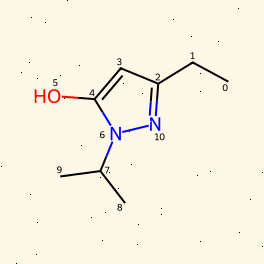 CCc1cc(O)n(C(C)C)n1